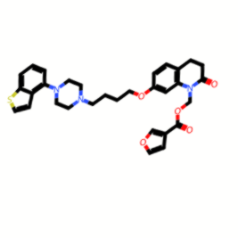 O=C(OCN1C(=O)CCc2ccc(OCCCCN3CCN(c4cccc5sccc45)CC3)cc21)c1ccoc1